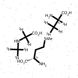 CSCC[C@H](N)C(=O)O.[2H]C([2H])([2H])NC([2H])([2H])C(=O)O.[2H]C([2H])([2H])[C@]([2H])(N)C(=O)O